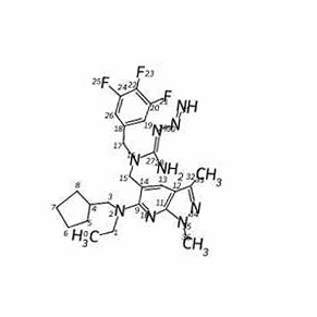 CCN(CC1CCCC1)c1nc2c(cc1CN(Cc1cc(F)c(F)c(F)c1)/C(N)=N/N=N)c(C)nn2C